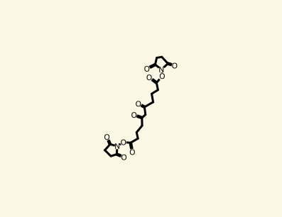 O=C(CCCC(=O)ON1C(=O)CCC1=O)CC(=O)CCCC(=O)ON1C(=O)CCC1=O